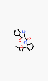 Cc1ccc(-c2ccccc2NC(=O)c2c[nH]c3ccccc3c2=O)o1